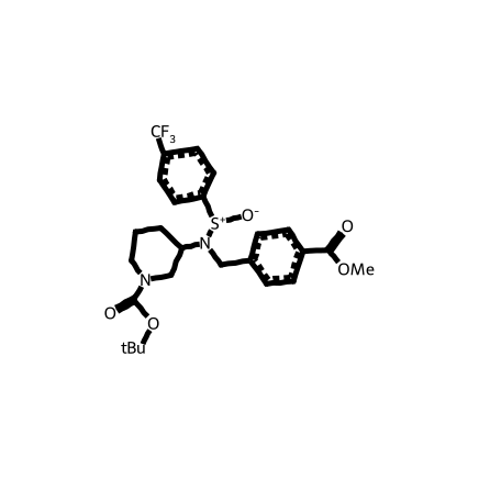 COC(=O)c1ccc(CN(C2CCCN(C(=O)OC(C)(C)C)C2)[S+]([O-])c2ccc(C(F)(F)F)cc2)cc1